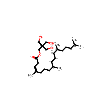 CC(=CCC(=O)OCC(CO)(CO)CO)CCCC(C)CCCC(C)CCCC(C)C